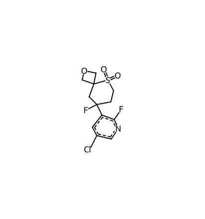 O=S1(=O)CCC(F)(c2cc(Cl)cnc2F)CC12COC2